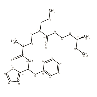 CCCN(CCC(C)C(=O)NC(Cc1ccccc1)c1nccs1)C(=O)CCC[C@@H](C)CC